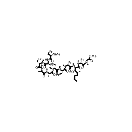 C/C=C\C[C@H](C)[C@@H](OC(C)=O)[C@H](C(=O)N[C@H](CC)C(=O)N(C)CC(=O)OC)N(C)C(=O)[C@@H](C(C)C)N(C)C(=O)[C@H](CC(C)C)N(C)C(=O)[C@@H](CC(C)C)N(C)C(=O)[C@H](C)NC(=O)[C@@H](C)NC(=O)[C@H](CC(C)C)N(C)C(=O)[C@@H](NC(=O)[C@@H](CC(C)C)NC)C(C)C